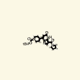 CC(C)(C)OC(=O)N1CCC(c2cc(=O)[nH]c3c(C(=O)N4CCCC4)cnn23)CC1